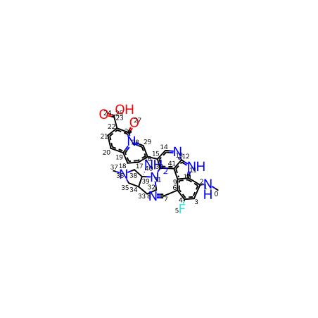 CNc1cc(F)c(C#N)c2c1[nH]c1ncc(-c3ccc4ccc(C(=O)O)c(=O)n4c3)c(N3CCC4CN(C)C[C@]43N)c12